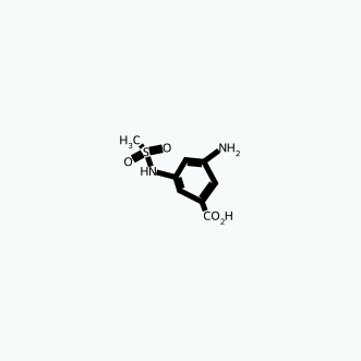 CS(=O)(=O)Nc1cc(N)cc(C(=O)O)c1